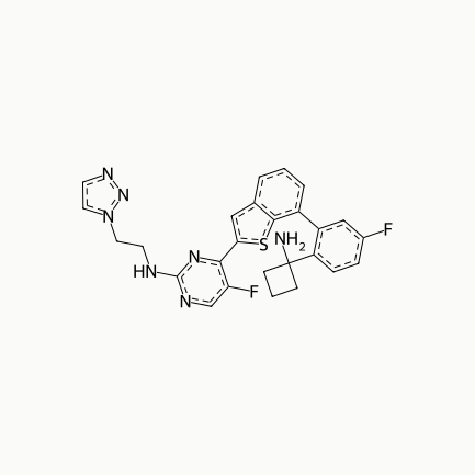 NC1(c2ccc(F)cc2-c2cccc3cc(-c4nc(NCCn5ccnn5)ncc4F)sc23)CCC1